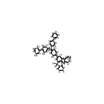 CC1(C)c2ccccc2-n2c3ccncc3c3cc(-c4ccc(N(c5ccc(-c6ccccc6)cc5)c5ccc(-c6ccccc6)cc5)cc4)cc1c32